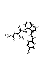 NC(=O)C[C@H](N)C(=O)Nc1cccc2[nH]cc(/N=N/c3ccc(Br)cc3)c12